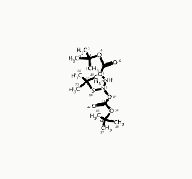 CC(C)(C)OC(=O)ONN(OC(=O)OC(C)(C)C)SC(C)(C)C